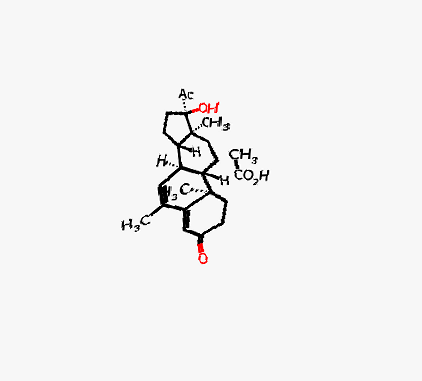 CC(=O)O.CC(=O)[C@@]1(O)CC[C@H]2[C@@H]3C=C(C)C4=CC(=O)CC[C@]4(C)[C@H]3CC[C@@]21C